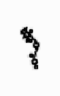 Cn1cnc2c1c(=O)n(CC(O)CN1CCN(CCC[S+]([O-])c3ccc(Cl)cc3)CC1)c(=O)n2C